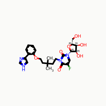 CC(C)(CCOc1ccccc1-c1c[nH]cn1)CCn1c(=O)c(F)cn([C@@H]2O[C@H](CO)[C@@H](O)[C@H]2O)c1=O